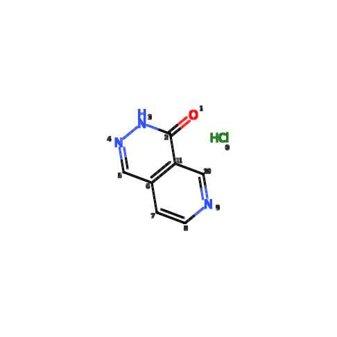 Cl.O=c1[nH]ncc2ccncc12